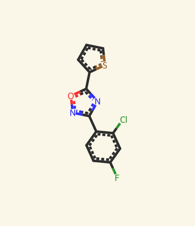 Fc1ccc(-c2noc(-c3cccs3)n2)c(Cl)c1